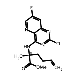 C=CCC[C@@](C)(Nc1nc(Cl)nc2cc(F)cnc12)C(=O)OC